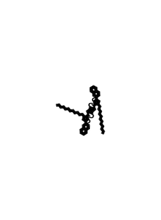 CCCCCCCCCCCCc1cc(-c2ccc3ccccc3c2)sc1-c1cc2sc(-c3sc(-c4ccc5ccccc5c4)cc3CCCCCCCCCCCC)cc2s1